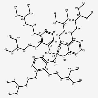 CCC(CC)CCCc1cccc(OP(=O)(Oc2cccc(CCCC(CC)CC)c2CCCC(CC)CC)Oc2cccc(CCCC(CC)CC)c2CCCC(CC)CC)c1CCCC(CC)CC